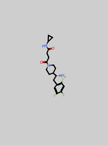 N[C@H](Cc1cc(F)c(F)cc1F)C1CCN(C(=O)CCC(=O)NC2CC2)CC1